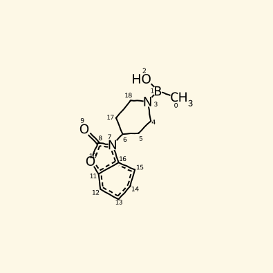 CB(O)N1CCC(n2c(=O)oc3ccccc32)CC1